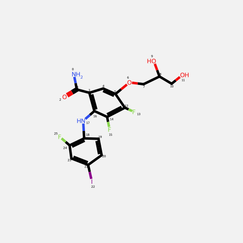 NC(=O)c1cc(OCC(O)CO)c(F)c(F)c1Nc1ccc(I)cc1F